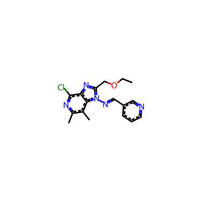 CCOCc1nc2c(Cl)nc(C)c(C)c2n1N=Cc1cccnc1